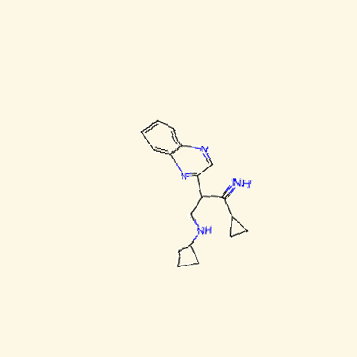 N=C(C1CC1)C(CNC1CCC1)c1cnc2ccccc2n1